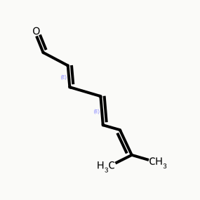 CC(C)=C/C=C/C=C/C=O